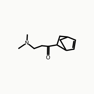 CN(C)CCC(=O)C1CC2C=CC1C2